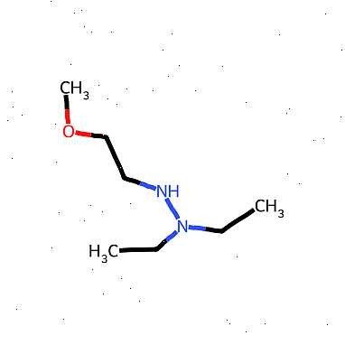 CCN(CC)NCCOC